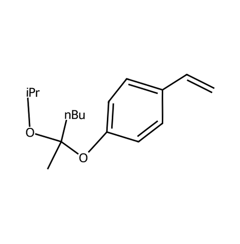 C=Cc1ccc(OC(C)(CCCC)OC(C)C)cc1